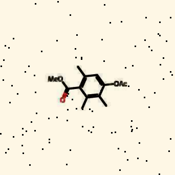 COC(=O)c1c(C)cc(OC(C)=O)c(C)c1C